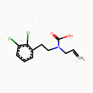 C=CCN(CCc1cccc(Cl)c1Cl)C(=O)O